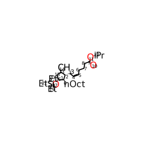 CCCCCCCC[C@@H]1[C@@H](C/C=C\CCCC(=O)OC(C)C)[C@@H](C)C[C@H]1O[Si](CC)(CC)CC